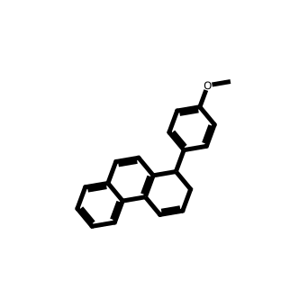 COc1ccc(C2CC=Cc3c2ccc2ccccc32)cc1